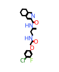 C=C(CCNC(=O)COc1ccc(Cl)c(F)c1)NC(=O)c1cc2c(cn1)CCCC2